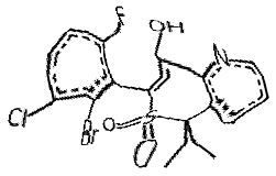 CC1(C)c2cccnc2C(O)=C(c2c(F)ccc(Cl)c2Br)S1(=O)=O